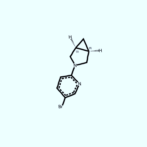 Brc1ccc(N2C[C@H]3C[C@H]3C2)nc1